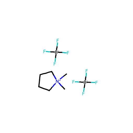 C[N+]1(C)CCCC1.F[B-](F)(F)F.F[B-](F)(F)F